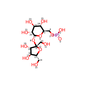 O=[PH](O)OC[C@H]1O[C@H](O[C@]2(CO)O[C@H](CO)[C@@H](O)[C@@H]2O)[C@H](O)[C@@H](O)[C@@H]1O